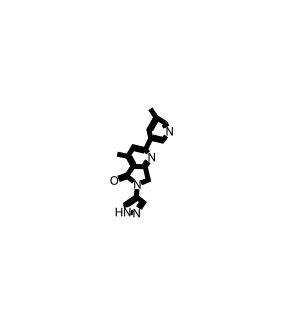 Cc1cncc(-c2cc(C)c3c(n2)CN(c2cn[nH]c2)C3=O)c1